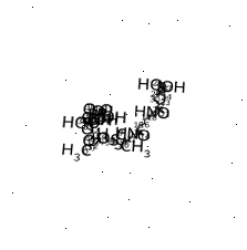 C[C@H]1C[C@@H](OCSSC(C)(C)CNC(=O)CCCCNC(=O)c2ccc(B(O)O)cc2)C(COP(=O)(O)OP(=O)(O)OP(=O)(O)O)O1